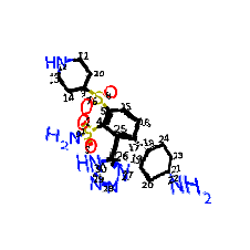 NS(=O)(=O)c1c(S(=O)(=O)C2CCNCC2)ccc([C@H]2CC[C@@H](N)CC2)c1-c1nnn[nH]1